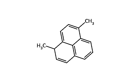 Cc1ccc2c3c(cccc13)C=CC2C